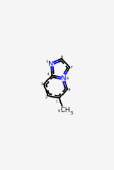 Cc1ccc2nccn2c1